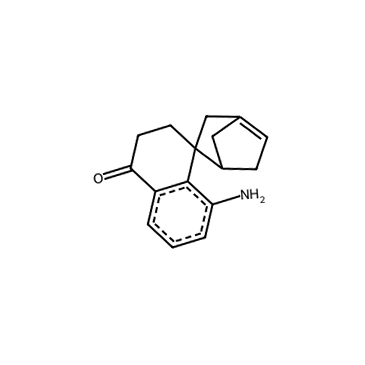 Nc1cccc2c1C1(CCC2=O)CC2=CCC1C2